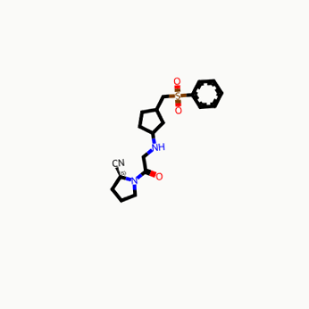 N#C[C@@H]1CCCN1C(=O)CNC1CCC(CS(=O)(=O)c2ccccc2)C1